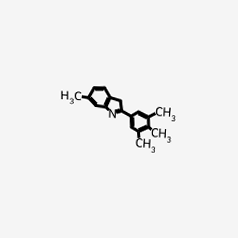 Cc1ccc2c(c1)N=C(c1cc(C)c(C)c(C)c1)C2